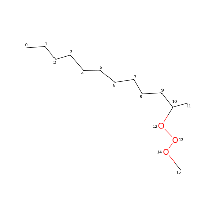 CCCCCCCCCCC(C)OOOC